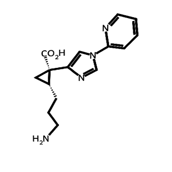 NCCC[C@@H]1C[C@@]1(C(=O)O)c1cn(-c2ccccn2)cn1